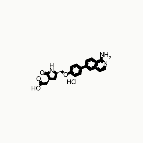 Cl.Nc1nccc2cc(-c3ccc(OC[C@@H]4C[C@@H](CC(=O)O)C(=O)N4)cc3)ccc12